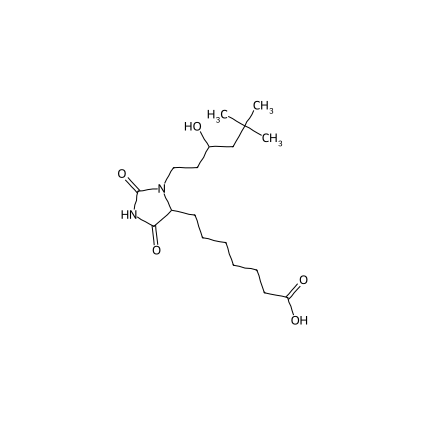 CC(C)(C)CC(O)CCN1C(=O)NC(=O)C1CCCCCCC(=O)O